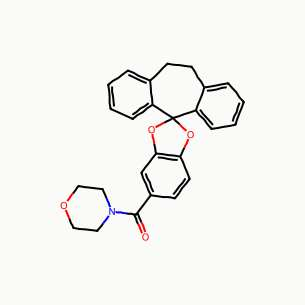 O=C(c1ccc2c(c1)OC1(O2)c2ccccc2CCc2ccccc21)N1CCOCC1